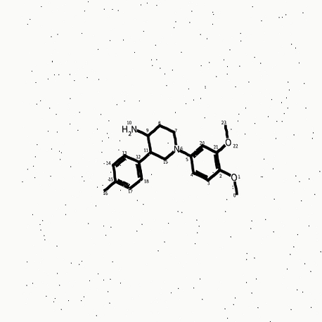 COc1ccc(N2CCC(N)C(c3ccc(C)cc3)C2)cc1OC